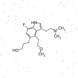 COCCc1c(CCCO)cc(F)c2[nH]cc(CCN(C)C)c12